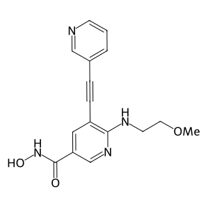 COCCNc1ncc(C(=O)NO)cc1C#Cc1cccnc1